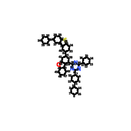 c1ccc(-c2ccc(-c3nc(-c4ccccc4)nc(-c4cc(-c5ccc6sc7ccc(-c8ccccc8)cc7c6c5)cc5oc6ccccc6c45)n3)cc2)cc1